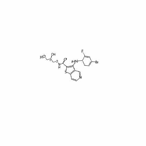 O=C(NOC[C@H](O)CO)c1sc2ccncc2c1NC1CC=C(Br)C=C1F